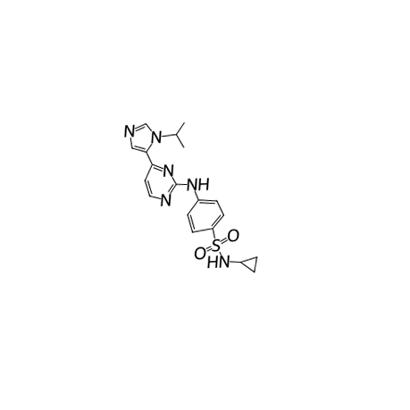 CC(C)n1cncc1-c1ccnc(Nc2ccc(S(=O)(=O)NC3CC3)cc2)n1